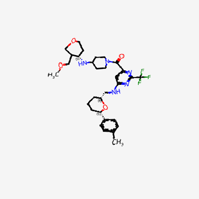 COCC1COCC[C@@H]1NC1CCN(C(=O)c2cc(NC[C@H]3CCC[C@@H](c4ccc(C)cc4)O3)nc(C(F)(F)F)n2)CC1